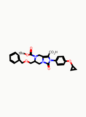 CC(C)(C)OC(=O)N1Cc2c(C(=O)O)n(-c3ccc(OC4CC4)cc3)c(=O)n2CC1COCc1ccccc1